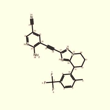 Cc1ccc(C(F)(F)F)cc1C1CCCn2nc(C#Cc3cc(C#N)cnc3N)nc21